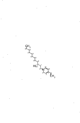 C=CC1=CCN(CCCCCCCCCCCC)C=C1.I